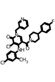 Cc1cc(Cl)ccc1Nc1c(C(=O)N2CCC(c3ccc(F)cc3)CC2)cn(Cc2cccnc2)c(=O)c1Cl